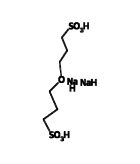 O=S(=O)(O)CCCOCCCS(=O)(=O)O.[NaH].[NaH]